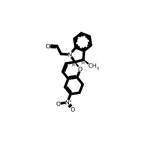 C[C@@H]1c2ccccc2N(CC=O)[C@@]12C=CC1=C(CCC([N+](=O)[O-])=C1)O2